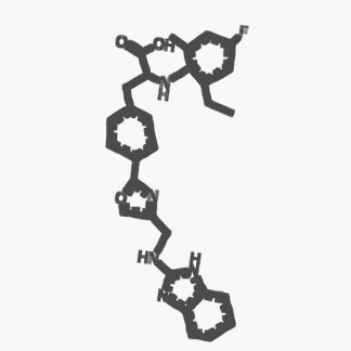 CCc1cc(F)cc(C)c1NC(Cc1ccc(-c2nc(CNc3nc4ccccc4[nH]3)co2)cc1)C(=O)O